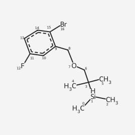 C[SiH](C)C(C)(C)COCc1cc(F)ccc1Br